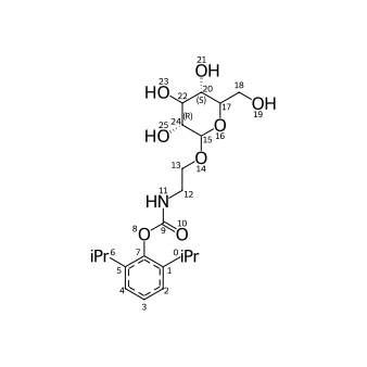 CC(C)c1cccc(C(C)C)c1OC(=O)NCCOC1OC(CO)[C@@H](O)C(O)[C@H]1O